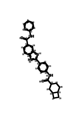 O=C(Nc1ccccn1)c1ccc2[nH]c(-c3ccc(NC(=O)C4CCC5CCC5C4)cc3)nc2c1